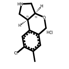 Cc1cc2c(cc1Cl)[C@H]1CNC[C@H]1OC2.Cl